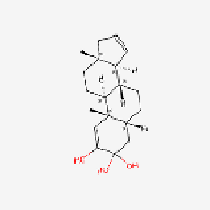 C[C@@]12CC=C[C@H]1[C@@H]1CC[C@@H]3CC(O)(O)C(O)=C[C@]3(C)[C@H]1CC2